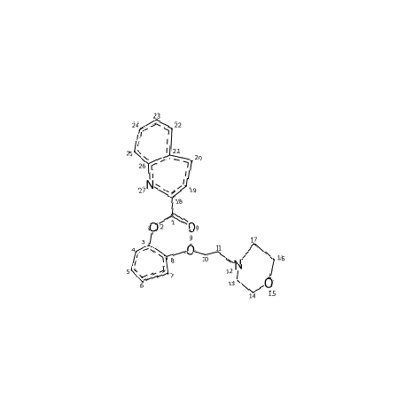 O=C(Oc1ccccc1OCCN1CCOCC1)c1ccc2ccccc2n1